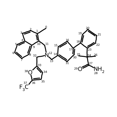 Cc1ccc2ccccc2c1CN(Cc1ccc(-c2ccccc2C(C)(C)C(N)=O)cc1)Cc1ccc(C(F)(F)F)o1